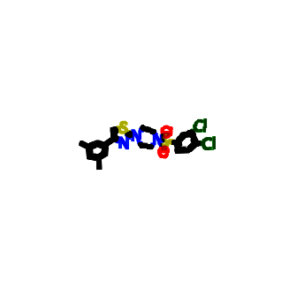 Cc1cc(C)cc(-c2csc(N3CCN(S(=O)(=O)c4ccc(Cl)c(Cl)c4)CC3)n2)c1